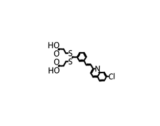 O=C(O)CCSC(SCCC(=O)O)c1cccc(/C=C/c2ccc3ccc(Cl)cc3n2)c1